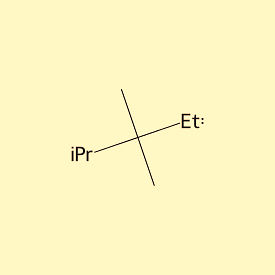 C[C]C(C)(C)C(C)C